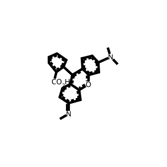 C/N=c1\ccc2c(-c3ccccc3C(=O)O)c3ccc(N(C)C)cc3oc-2c1